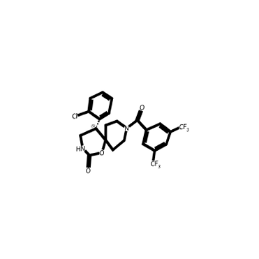 O=C1NC[C@H](c2ccccc2Cl)C2(CCN(C(=O)c3cc(C(F)(F)F)cc(C(F)(F)F)c3)CC2)O1